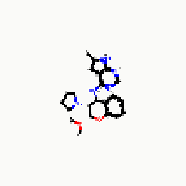 COC[C@@H]1CCCN1[C@H]1COc2ccccc2[C@@H]1Nc1ncnc2[nH]c(C)cc12